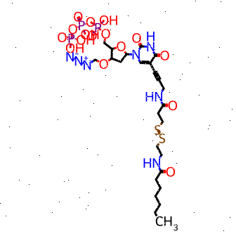 CCCCCCC(=O)NCCSSCCC(=O)NCC#Cc1cn(C2CC(OCN=[N+]=[N-])C(COP(=O)(O)OP(=O)(O)OP(=O)(O)O)O2)c(=O)[nH]c1=O